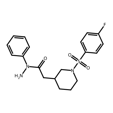 NN(C(=O)CC1CCCN(S(=O)(=O)c2ccc(F)cc2)C1)c1ccccc1